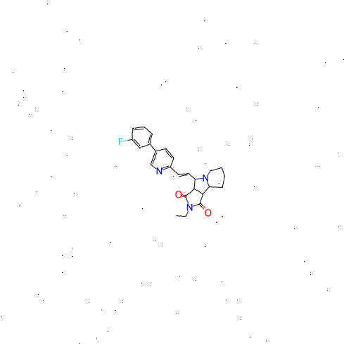 CCN1C(=O)C2C(C1=O)C1CCCCN1C2C=Cc1ccc(-c2cccc(F)c2)cn1